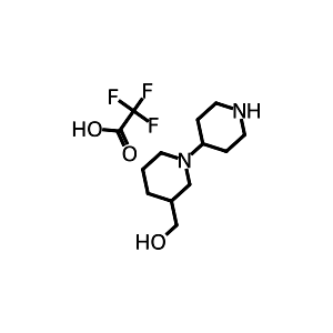 O=C(O)C(F)(F)F.OCC1CCCN(C2CCNCC2)C1